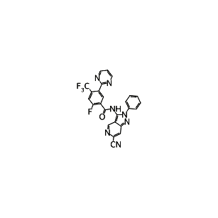 N#Cc1cc2nn(-c3ccccc3)c(NC(=O)c3cc(-c4ncccn4)c(C(F)(F)F)cc3F)c2cn1